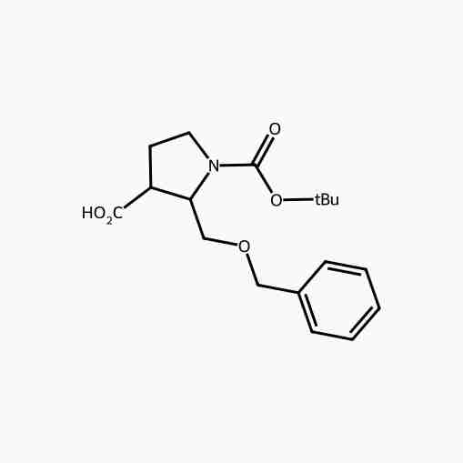 CC(C)(C)OC(=O)N1CCC(C(=O)O)C1COCc1ccccc1